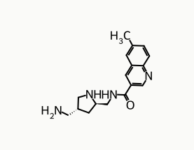 Cc1ccc2ncc(C(=O)NC[C@H]3C[C@H](CN)CN3)cc2c1